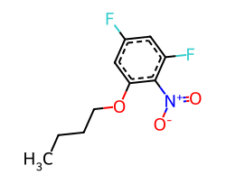 CCCCOc1cc(F)cc(F)c1[N+](=O)[O-]